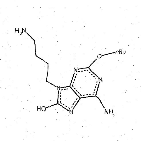 CCCCOc1nc(N)c2nc(O)n(CCCCN)c2n1